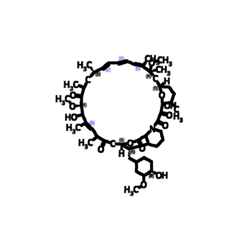 COC1CC(C[C@H]2C3CCCN4C(=O)C(=O)C5(O)O[C@@H](CCC5C)C[C@@](C)(OC)/C(C)=C/C=C/C=C/[C@@H](C)CC(C)C(=O)[C@H](OC)C(O)/C(C)=C/C(C)C(=O)C[C@@H]2OC(=O)C34)CC[C@H]1O